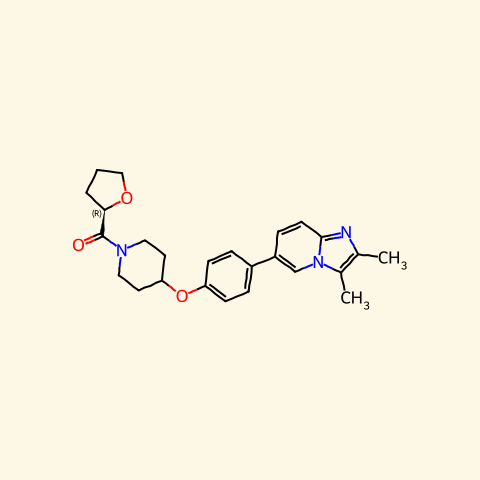 Cc1nc2ccc(-c3ccc(OC4CCN(C(=O)[C@H]5CCCO5)CC4)cc3)cn2c1C